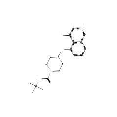 CC(C)(C)OC(=O)N1CCC(Oc2cccc3cncc(Br)c23)CC1